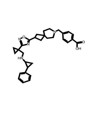 O=C(O)c1ccc(CN2CCC3(CC2)CC(c2nc(C4(CNC5CC5c5ccccc5)CC4)no2)C3)cc1